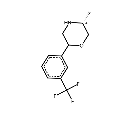 C[C@@H]1COC(c2cccc(C(F)(F)F)c2)CN1